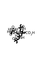 C=CC1=C(C)/C(=C/c2[nH]c(Cc3[nH]c(/C=C4\NC(=O)C(C)=C4C=C)c(C)c3CCC(=O)O)c(CCC(=O)O)c2C)NC1=O.O=c1[nH]c(=O)c2[nH]c(=O)[nH]c2[nH]1